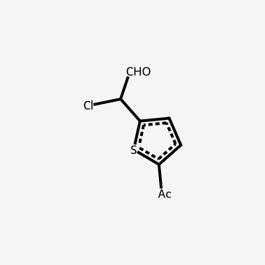 CC(=O)c1ccc(C(Cl)C=O)s1